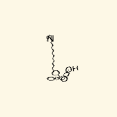 Oc1ccc2c(c1)C(c1ccc(CCCCCCCCCCCCN3CCCC3)cc1)[C@@H](c1ccccc1)CO2